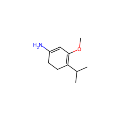 COC1=C(C(C)C)CCC(N)=C1